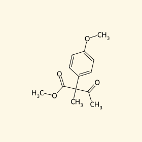 COC(=O)C(C)(C(C)=O)c1ccc(OC)cc1